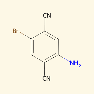 N#Cc1cc(Br)c(C#N)cc1N